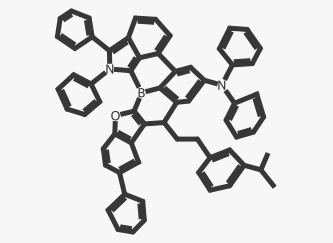 CC(C)c1cccc(CCC2c3cc(N(c4ccccc4)c4ccccc4)cc4c3B(c3oc5ccc(-c6ccccc6)cc5c32)c2c3c-4cccc3c(-c3ccccc3)n2-c2ccccc2)c1